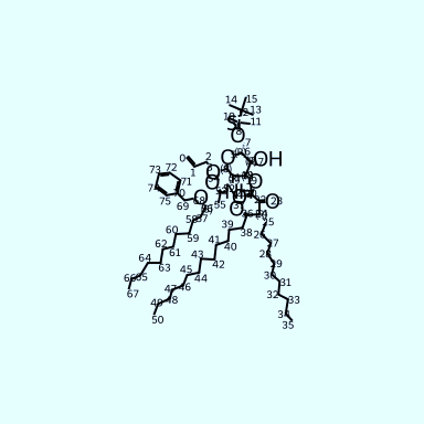 C=CCO[C@H]1O[C@H](CO[Si](C)(C)C(C)(C)C)[C@@H](O)[C@H](OC(=O)C(=O)[C@H](CCCCCCCCCCC)C(=O)CCCCCCCCCCCCC)[C@H]1NC(=O)C[C@H](CCCCCCCCCCC)OCc1ccccc1